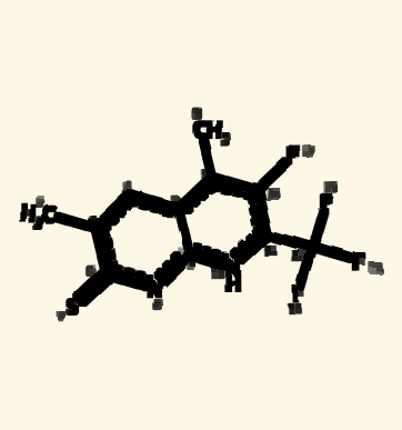 Cc1c2cc(C)c(=S)nc-2[nH]c(C(F)(F)F)c1F